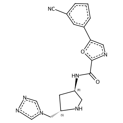 N#Cc1cccc(-c2cnc(C(=O)N[C@H]3CN[C@H](Cn4cnnc4)C3)o2)c1